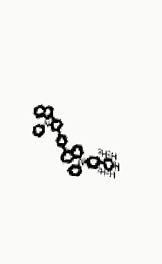 [2H]c1c([2H])c([2H])c(-c2ccc(N(c3ccccc3)c3cccc4c(-c5ccc(-c6ccc7c8ccc9ccccc9c8n(-c8ccccc8)c7c6)cc5)cccc34)cc2)c([2H])c1[2H]